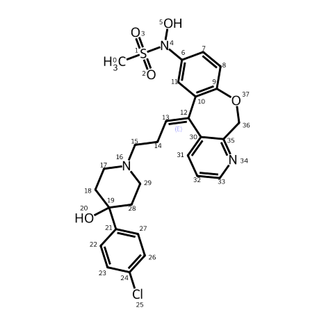 CS(=O)(=O)N(O)c1ccc2c(c1)/C(=C/CCN1CCC(O)(c3ccc(Cl)cc3)CC1)c1cccnc1CO2